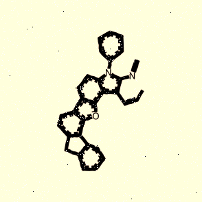 C=Nc1c(/C=C\C)c2c3oc4c5c(ccc4c3ccc2n1-c1ccccc1)Cc1ccccc1-5